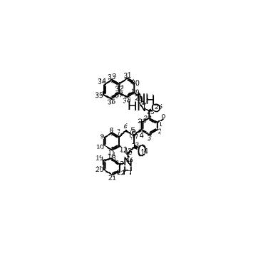 Cc1ccc([C@H](Cc2ccccc2)C(=O)CNc2ccccc2)cc1C(=O)NNc1ccc2ccccc2c1